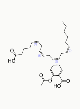 CC(=O)Oc1ccccc1C(=O)O.CCCCC/C=C\C/C=C\C/C=C\C/C=C\CCCC(=O)O